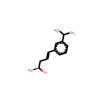 CC(C)c1cccc(/C=C/C[C@H](C)O)c1